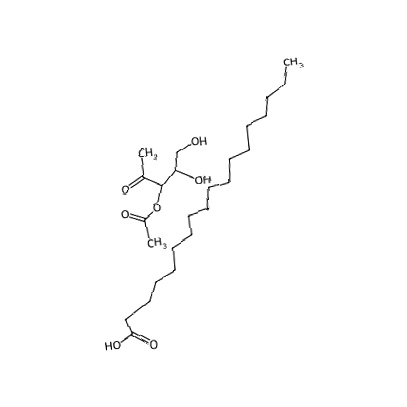 CC(=O)OC(C(C)=O)C(O)CO.CCCCCCCCCCCCCCCCCC(=O)O